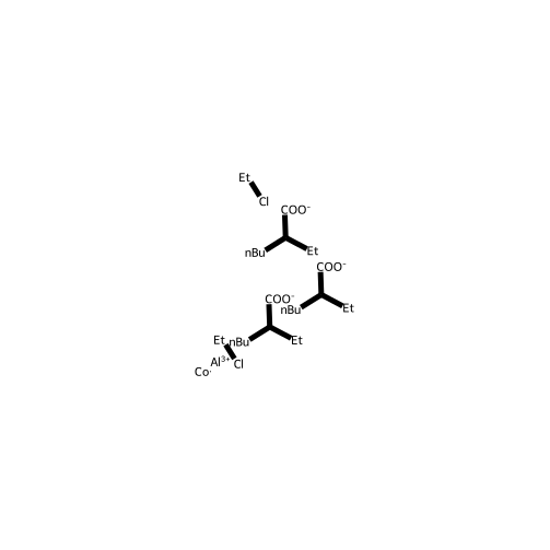 CCCCC(CC)C(=O)[O-].CCCCC(CC)C(=O)[O-].CCCCC(CC)C(=O)[O-].CCCl.CCCl.[Al+3].[Co]